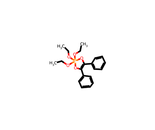 CCOP1(OCC)(OCC)OC(c2ccccc2)=C(c2ccccc2)O1